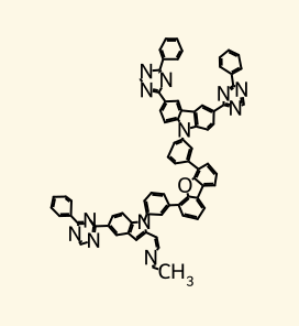 C/C=N\C=C/c1cc2cc(-c3ncnc(-c4ccccc4)n3)ccc2n1-c1cccc(-c2cccc3c2oc2c(-c4cccc(-n5c6ccc(-c7ncnc(-c8ccccc8)n7)cc6c6cc(-c7ncnc(-c8ccccc8)n7)ccc65)c4)cccc23)c1